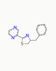 c1ccc(CC2CSC(c3cnccn3)=N2)cc1